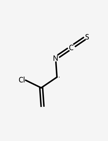 C=C(Cl)[CH]N=C=S